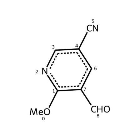 COc1ncc(C#N)cc1C=O